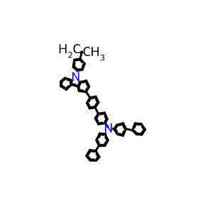 C=C(C)c1ccc(-n2c3ccccc3c3cc(-c4ccc(-c5ccc(N(c6ccc(-c7ccccc7)cc6)c6ccc(-c7ccccc7)cc6)cc5)cc4)ccc32)cc1